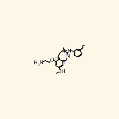 CBc1cc(OCCN)c2/c(c1)=C\N=C(\Nc1cccc(F)c1)C(C)C\C=2